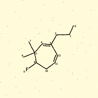 CCCC1=CC(C)(C)C(F)CC=C1